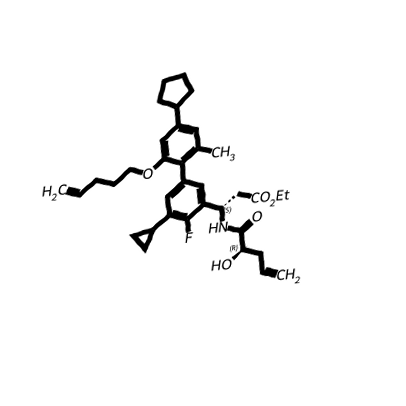 C=CCCCOc1cc(C2CCCC2)cc(C)c1-c1cc(C2CC2)c(F)c([C@H](CC(=O)OCC)NC(=O)[C@H](O)CC=C)c1